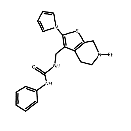 CCN1CCc2c(sc(-n3cccc3)c2CNC(=O)Nc2ccccc2)C1